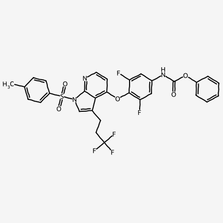 Cc1ccc(S(=O)(=O)n2cc(CCC(F)(F)F)c3c(Oc4c(F)cc(NC(=O)Oc5ccccc5)cc4F)ccnc32)cc1